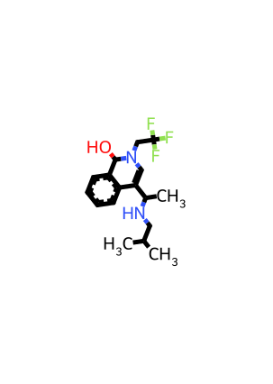 CC(C)CNC(C)C1=CN(CC(F)(F)F)C(O)c2ccccc21